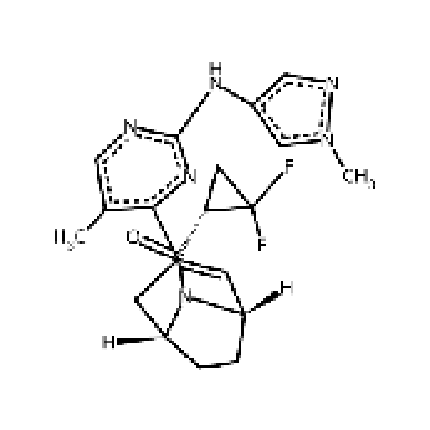 Cc1cnc(Nc2cnn(C)c2)nc1C1=C[C@@H]2CC[C@H](C1)N2C(=O)[C@@H]1CC1(F)F